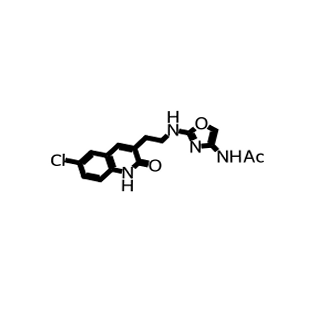 CC(=O)Nc1coc(NCCc2cc3cc(Cl)ccc3[nH]c2=O)n1